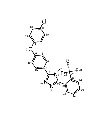 Cn1c(-c2ccc(Oc3ccc(Cl)cc3)cc2)nnc1-c1ccccc1C(F)(F)F